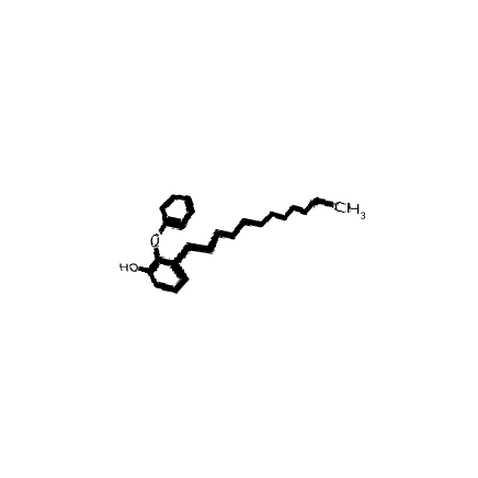 CCCCCCCCCCCCc1cccc(O)c1Oc1ccccc1